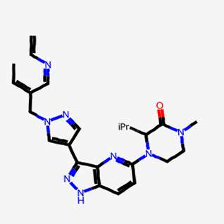 C=C/N=C\C(=C/C)Cn1cc(-c2n[nH]c3ccc(N4CCN(C)C(=O)C4C(C)C)nc23)cn1